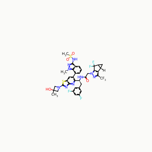 Cn1nc(NS(C)(=O)=O)c2cccc(-c3cc4sc(N5CC(C)(O)C5)nc4nc3[C@H](Cc3cc(F)cc(F)c3)NC(=O)Cn3nc(C(F)(F)F)c4c3C(F)(F)C3C[C@H]43)c21